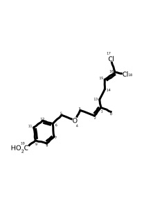 CC(=CCOCc1ccc(C(=O)O)cc1)CCC=C(Cl)Cl